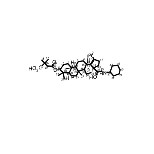 CC(C)C1=C2[C@H]3CC[C@@H]4[C@@]5(C)CC[C@H](OC(=O)CC(C)(C)C(=O)O)C(C)(C)[C@@H]5CC[C@@]4(C)[C@]3(C)CC[C@@]2([C@H](O)CNC2CCCCC2)CC1